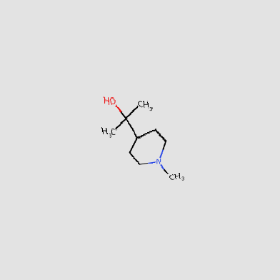 CN1CCC(C(C)(C)O)CC1